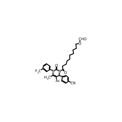 CC(=O)C1=C(C)N(c2cccc(C(F)(F)F)c2)C(=O)N(C(=O)CCCCCCCCCOC=O)C1c1ccc(C#N)cc1